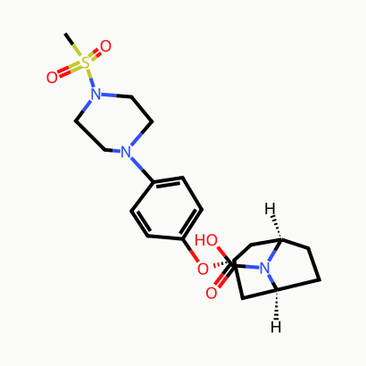 CS(=O)(=O)N1CCN(c2ccc(O[C@@H]3C[C@H]4CC[C@@H](C3)N4C(=O)O)cc2)CC1